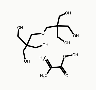 C=C(C)C(=O)OO.OCC(CO)(CO)COCC(CO)(CO)CO